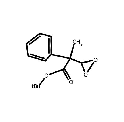 CC(C)(C)OC(=O)C(C)(c1ccccc1)C1OO1